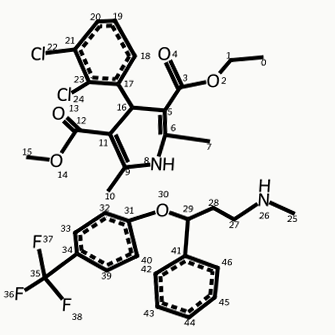 CCOC(=O)C1=C(C)NC(C)=C(C(=O)OC)C1c1cccc(Cl)c1Cl.CNCCC(Oc1ccc(C(F)(F)F)cc1)c1ccccc1